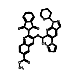 COC(=O)c1ccc2nc(N3C(=O)c4ccccc4C3=O)c(OC(C)c3nc4c(cnn4[C@@H]4CCCCO4)cc3-n3cccn3)cc2c1